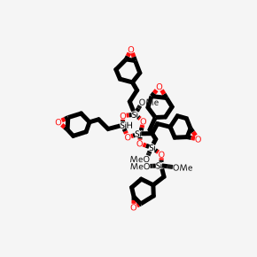 CO[Si](CC1CCC2OC2C1)(OC)O[Si](CCC1CCC2OC2C1)(OC)O[Si]1(CCC2CCC3OC3C2)O[SiH](CCC2CCC3OC3C2)O[Si](CCC2CCC3OC3C2)(OC)O1